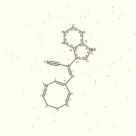 N#C/C(=C\C1=C/N=C\CC/C=C\1)c1c[nH]c2ccccc12